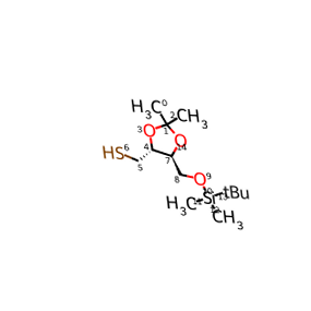 CC1(C)O[C@@H](CS)[C@H](CO[Si](C)(C)C(C)(C)C)O1